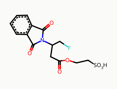 O=C(CC(CF)N1C(=O)c2ccccc2C1=O)OCCS(=O)(=O)O